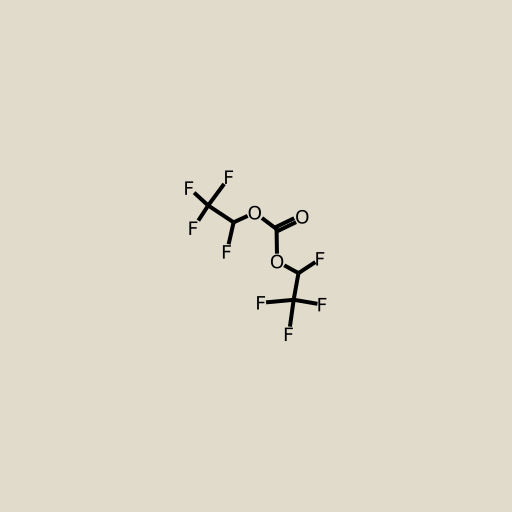 O=C(OC(F)C(F)(F)F)OC(F)C(F)(F)F